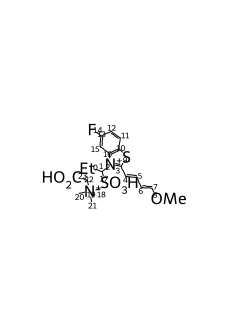 CCC([n+]1c(/C=C/C=C/OC)sc2ccc(F)cc21)S(=O)(=O)O.C[N+](C)(C)CC(=O)O